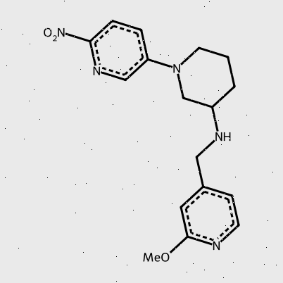 COc1cc(CNC2CCCN(c3ccc([N+](=O)[O-])nc3)C2)ccn1